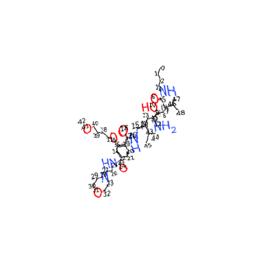 CCCCNC(=O)[C@@H](C[C@H](O)[C@@H](N)C[C@H](CNC(=O)c1ccc(C(=O)NCCN2CCOCC2)cc1OCCCCOC)C(C)C)C(C)C